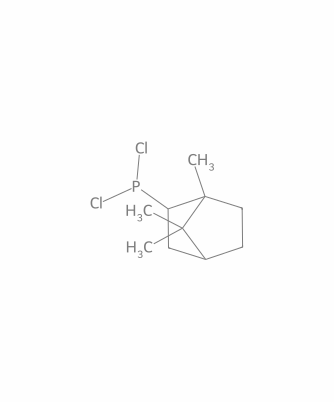 CC1(C)C2CCC1(C)C(P(Cl)Cl)C2